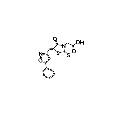 O=C(O)CN1C(=O)C(=Cc2cc(-c3ccccc3)on2)SC1=S